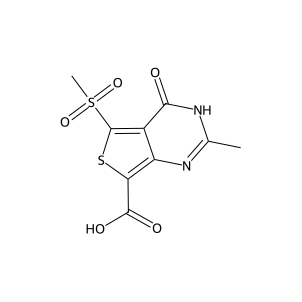 Cc1nc2c(C(=O)O)sc(S(C)(=O)=O)c2c(=O)[nH]1